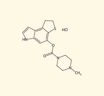 CN1CCN(C(=O)Oc2cc3[nH]ccc3c3c2SCC3)CC1.Cl